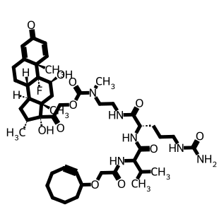 CC(C)C(NC(=O)COC1C#CCCCCC1)C(=O)N[C@@H](CCCNC(N)=O)C(=O)NCCN(C)C(=O)OCC(=O)[C@@]1(O)[C@H](C)C[C@H]2[C@@H]3CCC4=CC(=O)C=C[C@]4(C)[C@@]3(F)[C@@H](O)C[C@@]21C